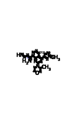 CC1COCCN1c1cc(-c2cnn(C)c2)c2ccnc(/C(N)=C/C=N)c2n1